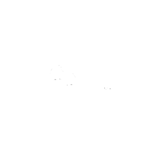 COC(C)COc1ccc2cc(F)c(C)nc2c1